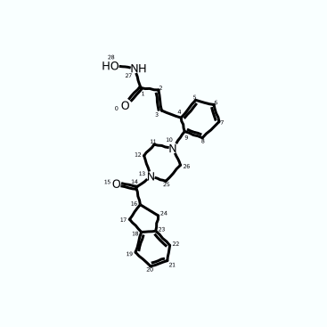 O=C(C=Cc1ccccc1N1CCN(C(=O)C2Cc3ccccc3C2)CC1)NO